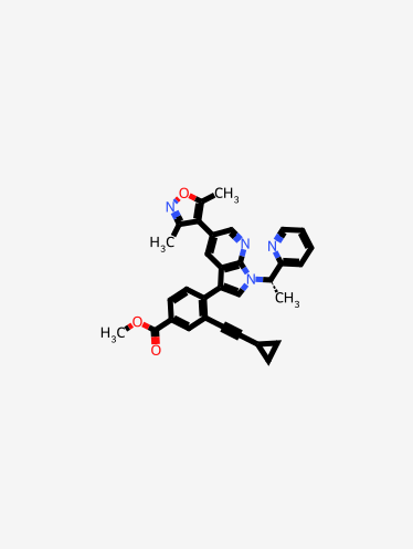 COC(=O)c1ccc(-c2cn([C@@H](C)c3ccccn3)c3ncc(-c4c(C)noc4C)cc23)c(C#CC2CC2)c1